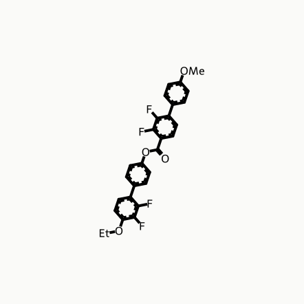 CCOc1ccc(-c2ccc(OC(=O)c3ccc(-c4ccc(OC)cc4)c(F)c3F)cc2)c(F)c1F